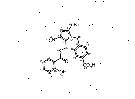 CCCCc1nc([N+](=O)[O-])c(CSC(=O)c2ccccc2O)n1Cc1ccc(C(=O)O)cc1